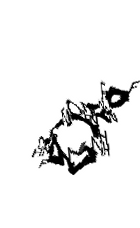 CN1CCCn2c(=O)[nH]c3c(F)ccc(c32)-c2cccc(n2)N[C@H]2C[C@@H](C1=O)N(c1ncnc3c1cnn3-c1ccc(F)cc1F)C2